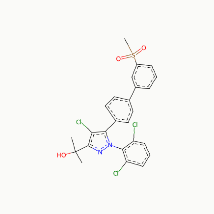 CC(C)(O)c1nn(-c2c(Cl)cccc2Cl)c(-c2ccc(-c3cccc(S(C)(=O)=O)c3)cc2)c1Cl